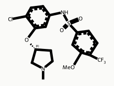 COc1cc(S(=O)(=O)Nc2ccc(Cl)c(O[C@@H]3CCN(C)C3)c2)ccc1C(F)(F)F